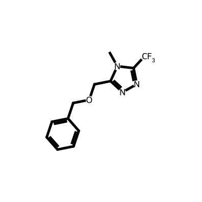 Cn1c(COCc2ccccc2)nnc1C(F)(F)F